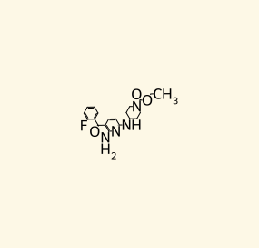 CCOC(=O)N1CCC(Nc2ccc(C(=O)c3ccccc3F)c(N)n2)CC1